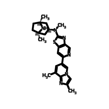 Cc1cn2cc(-c3cc4sc(N(C)[C@@H]5C[C@]6(C)CC[C@](C)(C5)N6)nc4cn3)cc(C)c2n1